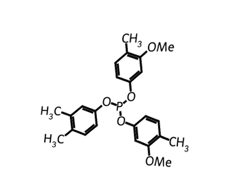 COc1cc(OP(Oc2ccc(C)c(C)c2)Oc2ccc(C)c(OC)c2)ccc1C